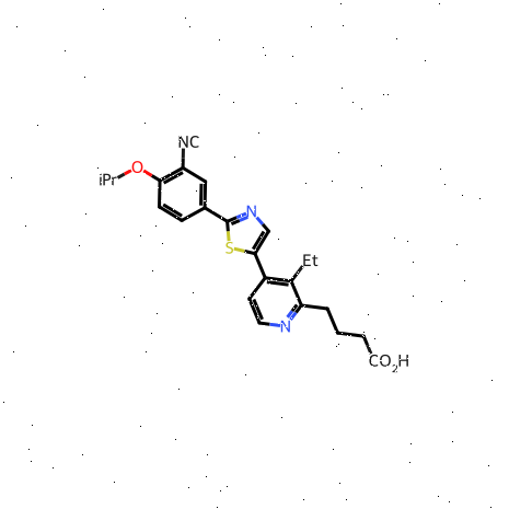 [C-]#[N+]c1cc(-c2ncc(-c3ccnc(CCCC(=O)O)c3CC)s2)ccc1OC(C)C